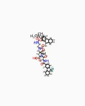 CC(C)(C)OC(=O)NCCN(C[C@@]12C[C@@H]1N(C(=O)CNC(=O)c1ccc3c(c1)-c1ccccc1C3(F)F)[C@H](C(=O)O)C2)C(=O)OCC1c2ccccc2-c2ccccc21